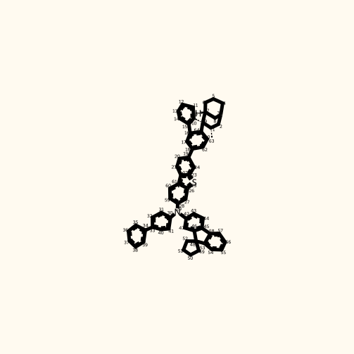 C[C@H]1CC2CCC[C@H](C2)[C@@]12c1ccccc1-c1cc(-c3ccc4c(c3)sc3cc(N(c5ccc(-c6ccccc6)cc5)c5ccc6c(c5)C5(CCCC5)c5ccccc5-6)ccc34)ccc12